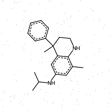 Cc1cc(NC(C)C)cc2c1NCCC2(C)c1ccccc1